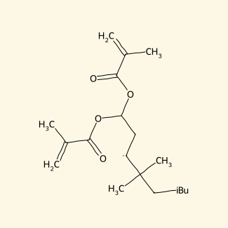 [CH2]CC(C)CC(C)(C)[CH]CC(OC(=O)C(=C)C)OC(=O)C(=C)C